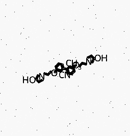 Cc1c(OCCCN2CCC(O)C2)cccc1-c1cccc(OCCCN2CCC(O)C2)c1C#N